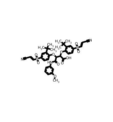 COc1cccc(NC(=O)C(Oc2ccc(S(=O)(=O)C=CC#N)cc2C(C)(C)C)C(Oc2ccc(S(=O)(=O)C=CC#N)cc2C(C)(C)C)C(=O)O)c1